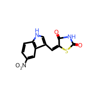 O=C1NC(=O)C(=Cc2c[nH]c3ccc([N+](=O)[O-])cc23)S1